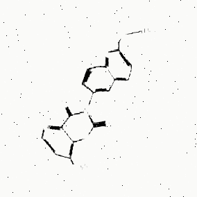 CCC(C)Oc1ccc2cc(-n3c(=S)oc4c(OC)ccnc4c3=O)ccc2n1